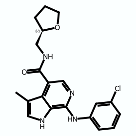 Cc1c[nH]c2c(Nc3cccc(Cl)c3)ncc(C(=O)NC[C@H]3CCCO3)c12